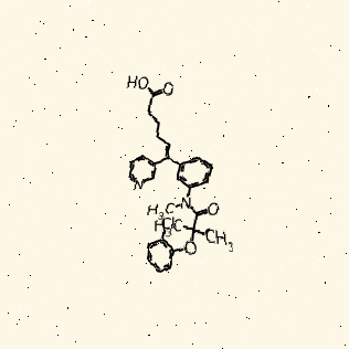 CN(C(=O)C(C)(C)Oc1ccccc1Cl)c1cccc(C(=CCCCC(=O)O)c2cccnc2)c1